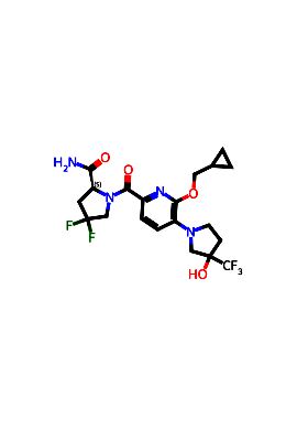 NC(=O)[C@@H]1CC(F)(F)CN1C(=O)c1ccc(N2CCC(O)(C(F)(F)F)C2)c(OCC2CC2)n1